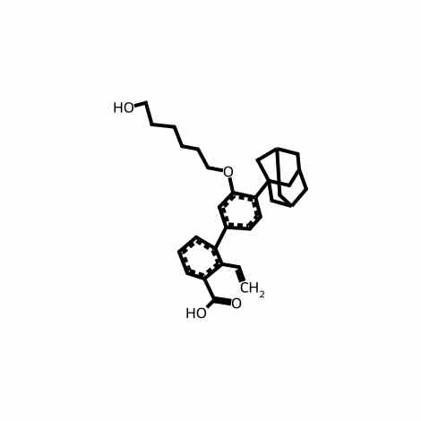 C=Cc1c(C(=O)O)cccc1-c1ccc(C23CC4CC(CC(C4)C2)C3)c(OCCCCCCO)c1